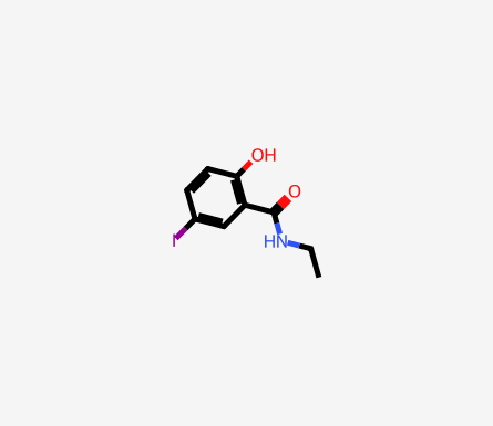 CCNC(=O)c1cc(I)ccc1O